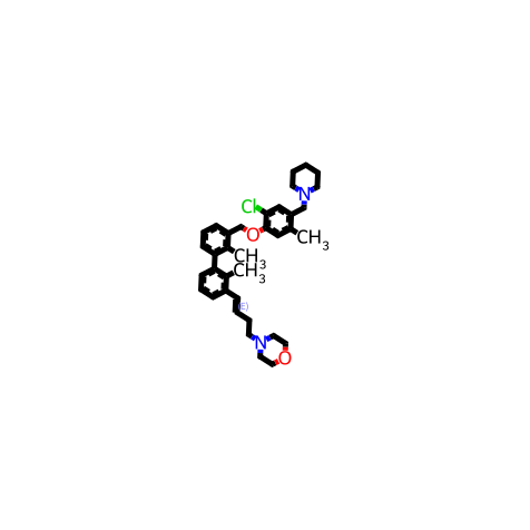 Cc1cc(OCc2cccc(-c3cccc(/C=C/CCN4CCOCC4)c3C)c2C)c(Cl)cc1CN1CCCCC1